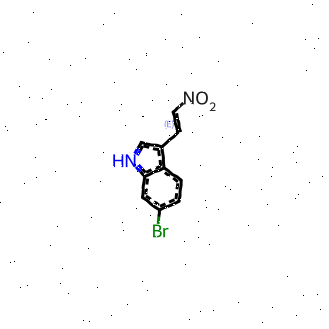 O=[N+]([O-])/C=C/c1c[nH]c2cc(Br)ccc12